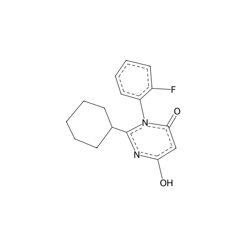 O=c1cc(O)nc(C2CCCCC2)n1-c1ccccc1F